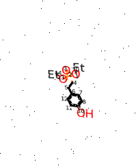 CCOP(=O)(CCc1ccc(O)cc1)OCC